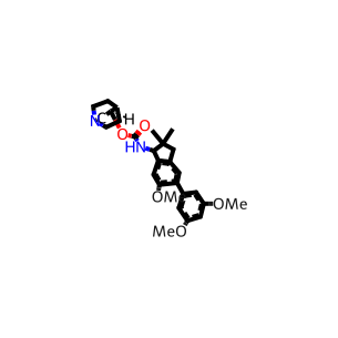 COc1cc(OC)cc(-c2cc3c(cc2OC)C(NC(=O)O[C@H]2CN4CCC2CC4)C(C)(C)C3)c1